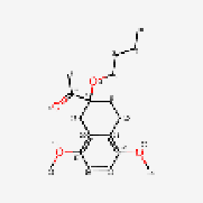 CCCCOC1(C(C)=O)CCc2c(OC)ccc(OC)c2C1